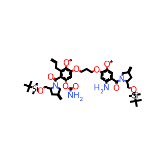 C=CCc1c(OC)c(OCCCOc2cc(N)c(C(=O)N3CC(=C)CC3CO[Si](C)(C)C(C)(C)C)cc2OC)cc(OC(N)=O)c1C(=O)N1CC(=C)CC1CO[Si](C)(C)C(C)(C)C